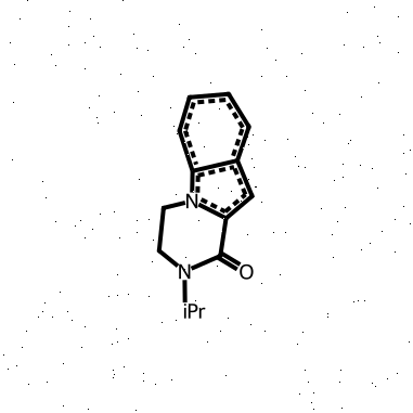 CC(C)N1CCn2c(cc3ccccc32)C1=O